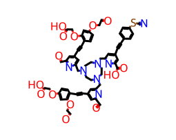 N#CSc1ccc(C#Cc2cc(CN3CCN(Cc4cc(C#Cc5ccc(OCC(=O)O)cc5OCC=O)cc(C=O)n4)CCN(Cc4cc(C#Cc5ccc(OCC=O)cc5OCC(=O)O)cc(C=O)n4)CC3)nc(C(=O)O)c2)cc1